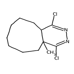 CC12CCCCCCCC1C(Cl)=NN=C2Cl